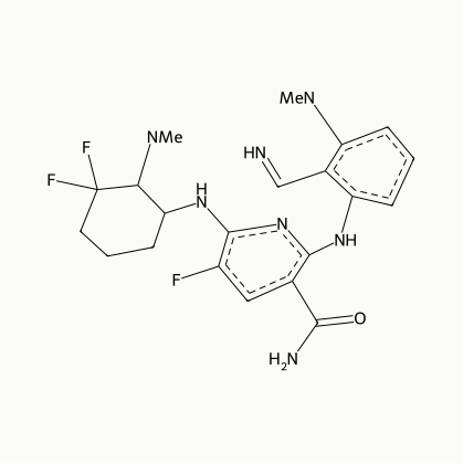 CNc1cccc(Nc2nc(NC3CCCC(F)(F)C3NC)c(F)cc2C(N)=O)c1C=N